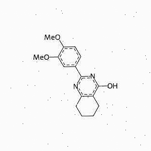 COc1ccc(-c2nc(O)c3c(n2)CCCC3)cc1OC